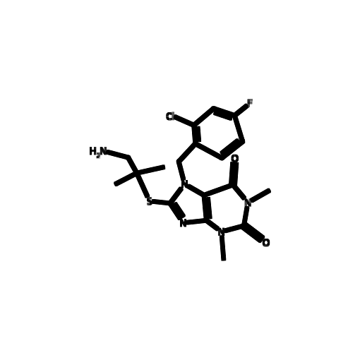 Cn1c(=O)c2c(nc(SC(C)(C)CN)n2Cc2ccc(F)cc2Cl)n(C)c1=O